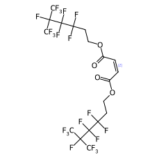 O=C(/C=C\C(=O)OCCC(F)(F)C(F)(F)C(F)(C(F)(F)F)C(F)(F)F)OCCC(F)(F)C(F)(F)C(F)(C(F)(F)F)C(F)(F)F